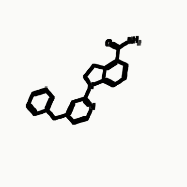 NC(=O)c1cccc2c1CCN2c1cc(Cc2c[c]ccc2)ccn1